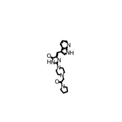 O=C1NC(N2CCN(CC(=O)N3CCCC3)CC2)=NC1=Cc1c[nH]c2ncccc12